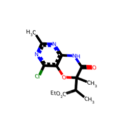 CCOC(=O)C(C)C1(C)Oc2c(Cl)nc(C)nc2NC1=O